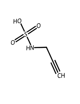 C#CCNS(=O)(=O)O